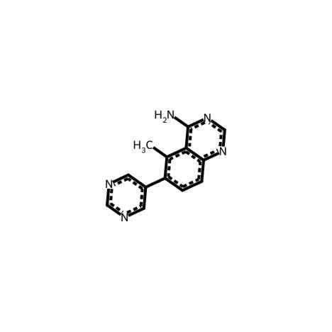 Cc1c(-c2cncnc2)ccc2ncnc(N)c12